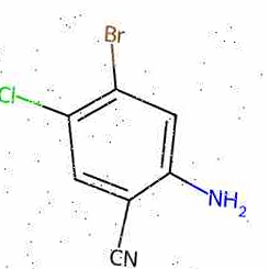 N#Cc1cc(Cl)c(Br)cc1N